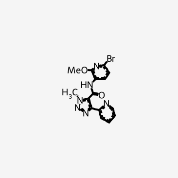 COc1nc(Br)ccc1NC(=O)c1c(-c2ccccn2)nnn1C